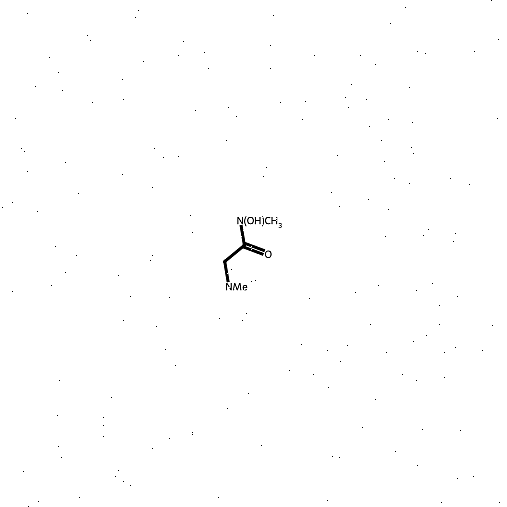 CNCC(=O)N(C)O